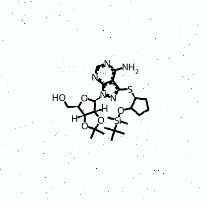 CC1(C)O[C@@H]2[C@H](O1)[C@@H](CO)O[C@H]2n1nc(S[C@H]2CCCC2O[Si](C)(C)C(C)(C)C)c2c(N)ncnc21